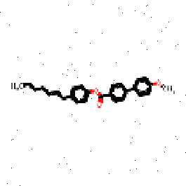 CCCCCCCc1ccc(OC(=O)c2ccc(-c3ccc(OC)cc3)cc2)cc1